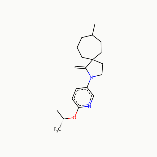 C=C1N(c2ccc(O[C@@H](C)C(F)(F)F)nc2)CCC12CCCC(C)CC2